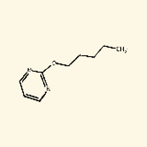 [CH2]CCCCOc1ncccn1